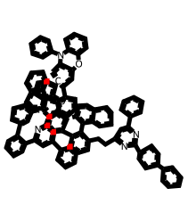 Cc1ccc2ccccc2c1-c1c(CCc2cc(-c3ccccc3)nc(-c3ccc(-c4ccccc4)cc3)n2)cccc1-c1ccc2c(c1)Oc1ccccc1N2c1cccc(-c2ccccc2-c2cc(-c3ccccc3)cc(-n3c4cccc(-c5ccc6c(c5)Oc5ccccc5N6c5ccccc5)c4c4c5ccccc5ccc43)n2)c1